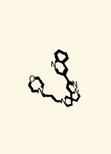 c1ccc2ncc(-c3cc4n(n3)CCC43CCN(CCCN4CCOCC4)C3)cc2c1